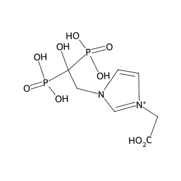 O=C(O)C[n+]1ccn(CC(O)(P(=O)(O)O)P(=O)(O)O)c1